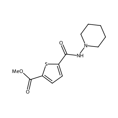 COC(=O)c1ccc(C(=O)NN2CCCCC2)s1